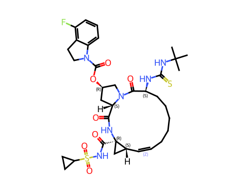 CC(C)(C)NC(=S)N[C@H]1CCCCC/C=C\[C@@H]2C[C@@]2(C(=O)NS(=O)(=O)C2CC2)NC(=O)[C@@H]2C[C@@H](OC(=O)N3CCc4c(F)cccc43)CN2C1=O